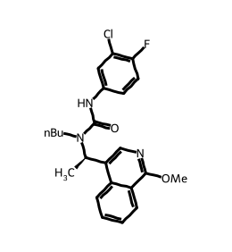 CCCCN(C(=O)Nc1ccc(F)c(Cl)c1)[C@H](C)c1cnc(OC)c2ccccc12